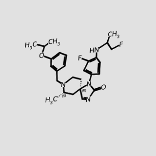 CC(CF)Nc1ccc(N2C(=O)N=C[C@]23CCN(Cc2cccc(OC(C)C)c2)[C@@H](C)C3)cc1F